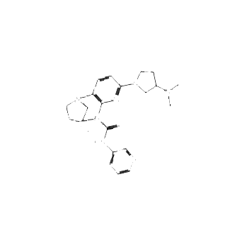 CN(C)C1CCN(c2ccc3c(n2)N(C(=O)Nc2cccnc2)[C@H]2CCN3C2)C1